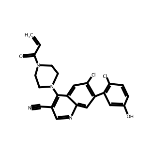 C=CC(=O)N1CCN(c2c(C#N)cnc3cc(-c4cc(O)ccc4Cl)c(Cl)cc23)CC1